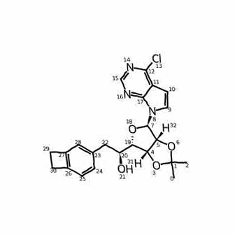 CC1(C)O[C@H]2[C@@H](O1)[C@H](n1ccc3c(Cl)ncnc31)O[C@H]2[C@@H](O)Cc1ccc2c(c1)CC2